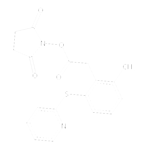 Cc1cccc(Sc2ccccn2)c1CC(=O)ON1C(=O)CCC1=O